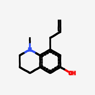 C=CCc1cc(O)cc2c1N(C)CCC2